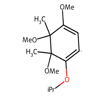 COC1=C[C]=C(OC(C)C)C(C)(OC)C1(C)OC